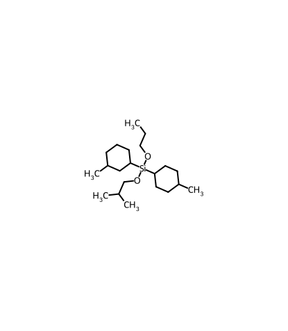 CCCO[Si](OCC(C)C)(C1CCC(C)CC1)C1CCCC(C)C1